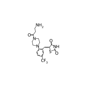 NCCC(=O)N1CCN(c2ccc(C(F)(F)F)cc2/C=C2\SC(=O)NC2=O)CC1